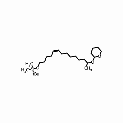 CC(CCCCCC/C=C\CCCCO[Si](C)(C)C(C)(C)C)OC1CCCCO1